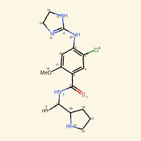 CCCC(NC(=O)c1cc(Cl)c(NC2=NCCN2)cc1OC)C1CCCN1